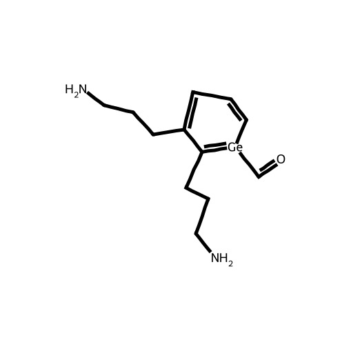 NCCCC1=CC=[CH][Ge]([CH]=O)=[C]1CCCN